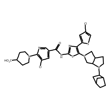 O=C(Nc1nc(-c2cc(Cl)cs2)c(N2CC3CCN(C4CC5CCC4C5)C3C2)s1)c1cnc(N2CCC(C(=O)O)CC2)c(Cl)c1